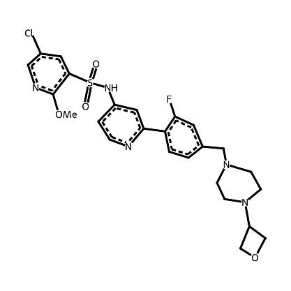 COc1ncc(Cl)cc1S(=O)(=O)Nc1ccnc(-c2ccc(CN3CCN(C4COC4)CC3)cc2F)c1